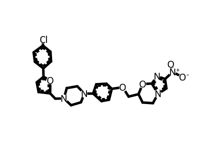 O=[N+]([O-])c1cn2c(n1)OC(COc1ccc(N3CCN(Cc4ccc(-c5ccc(Cl)cc5)o4)CC3)cc1)CC2